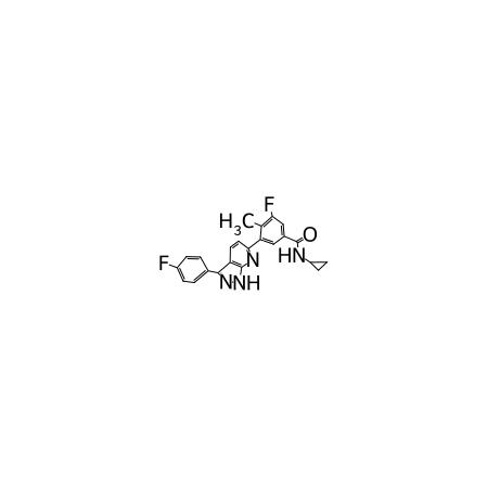 Cc1c(F)cc(C(=O)NC2CC2)cc1-c1ccc2c(-c3ccc(F)cc3)n[nH]c2n1